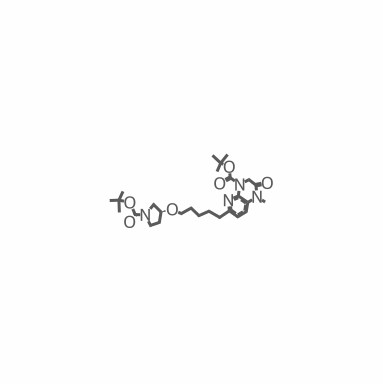 CN1C(=O)CN(C(=O)OC(C)(C)C)c2nc(CCCCCO[C@@H]3CCN(C(=O)OC(C)(C)C)C3)ccc21